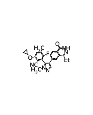 CCc1n[nH]c(=O)c2ccc(-c3cnn(C)c3-c3c(F)c(C)cc(OC4CC4)c3C#N)cc12